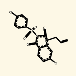 C=CCn1c(=O)n(S(=O)(=O)c2ccc(Cl)cc2)c(=O)c2ccc(Cl)cc21